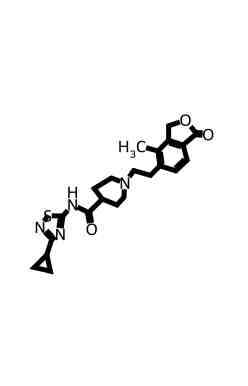 Cc1c(CCN2CCC(C(=O)Nc3nc(C4CC4)ns3)CC2)ccc2c1COC2=O